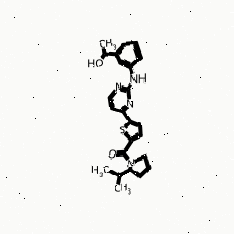 CC(O)c1cccc(Nc2nccc(-c3ccc(C(=O)N4CCCC4C(C)C)s3)n2)c1